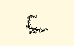 CC(C)OCC(CSCCC(=O)OCCOC=O)OC(C)C